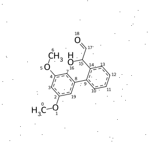 COc1cc(OC)cc(-c2ccccc2C(O)C=O)c1